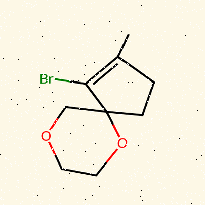 CC1=C(Br)C2(CC1)COCCO2